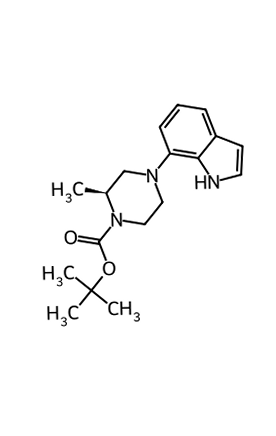 C[C@H]1CN(c2cccc3cc[nH]c23)CCN1C(=O)OC(C)(C)C